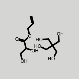 C=CCOC(=O)C(O)CO.OCC(CO)(CO)CO